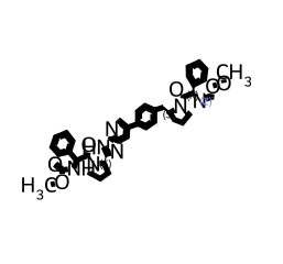 COO/C=N\[C@@H](C(=O)N1CCC[C@H]1Cc1ccc(-c2cnc3[nH]c([C@@H]4CCCN4C(=O)C(NC(=O)OC)c4ccccc4)nc3c2)cc1)c1ccccc1